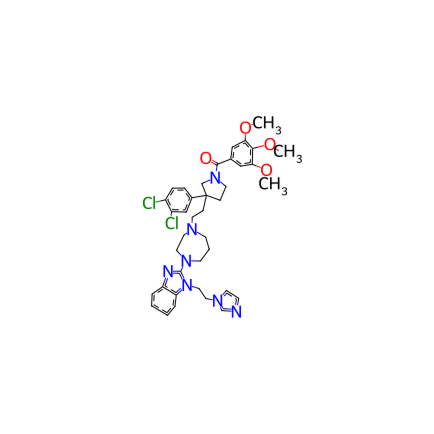 COc1cc(C(=O)N2CCC(CCN3CCCN(c4nc5ccccc5n4CCn4ccnc4)CC3)(c3ccc(Cl)c(Cl)c3)C2)cc(OC)c1OC